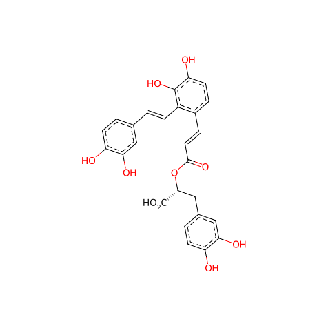 O=C(C=Cc1ccc(O)c(O)c1C=Cc1ccc(O)c(O)c1)O[C@H](Cc1ccc(O)c(O)c1)C(=O)O